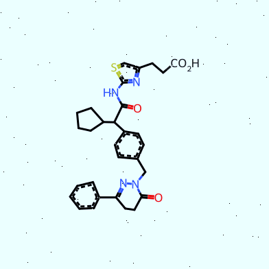 O=C(O)CCc1csc(NC(=O)C(c2ccc(CN3N=C(c4ccccc4)CCC3=O)cc2)C2CCCC2)n1